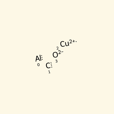 [Al].[C].[Cu+2].[O-2]